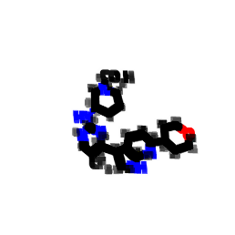 O=C(O)N1CCC[C@H](Nc2ncc(C(F)(F)F)c(-c3c[nH]c4nc(C5CCOCC5)ccc34)n2)C1